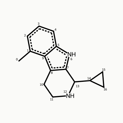 Cc1cccc2[nH]c3c(c12)CCNC3C1CC1